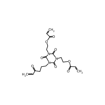 C=CC(=O)CCCn1c(=O)n(CCOC(=O)C=C)c(=O)n(CCOC(=O)C=C)c1=O